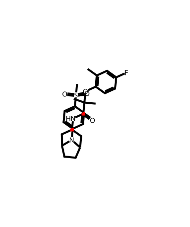 Cc1cc(F)ccc1OC(C)(C)C(=O)NC1CC2CCC(C1)N2c1ccc(S(C)(=O)=O)cc1